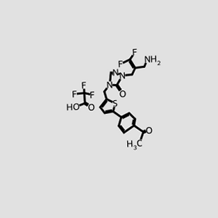 CC(=O)c1ccc(-c2ccc(Cn3cnn(CC(CN)=C(F)F)c3=O)s2)cc1.O=C(O)C(F)(F)F